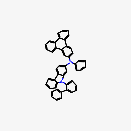 c1ccc(-c2ccccc2-n2c3ccccc3c3ccc(N(c4ccccc4)c4ccc5c6ccccc6c6ccccc6c5c4)cc32)cc1